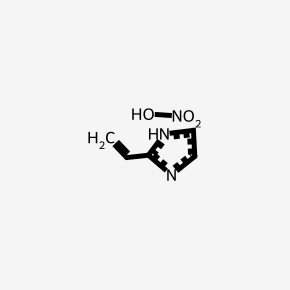 C=Cc1ncc[nH]1.O=[N+]([O-])O